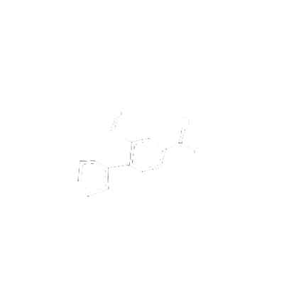 O=Cc1cc(C(=O)O)ccc1-c1ccccc1